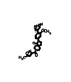 COc1cc(N2CCC3(CCN(C(=O)c4cc(C)on4)CC3)C2=O)ccc1/C(C=N)=C/N